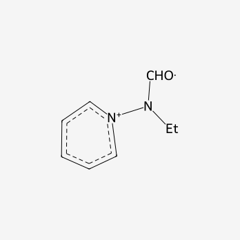 CCN([C]=O)[n+]1ccccc1